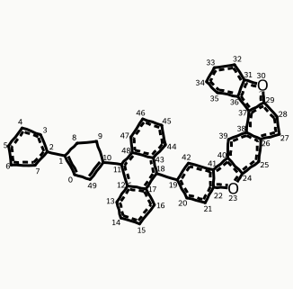 C1=C(c2ccccc2)CCC(c2c3ccccc3c(-c3ccc4oc5cc6ccc7oc8ccccc8c7c6cc5c4c3)c3ccccc23)=C1